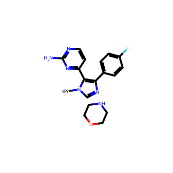 C1COCCN1.CCCn1cnc(-c2ccc(F)cc2)c1-c1ccnc(N)n1